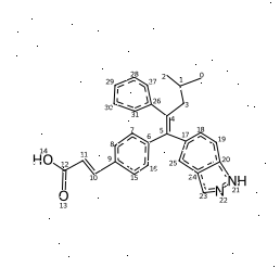 CC(C)C/C(=C(/c1ccc(C=CC(=O)O)cc1)c1ccc2[nH]ncc2c1)c1ccccc1